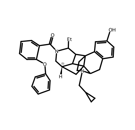 CCC1C2C3[C@@H](CN1C(=O)c1ccccc1Oc1ccccc1)CC31C3Cc4ccc(O)cc4C21CCN3CC1CC1